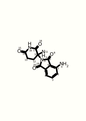 Nc1cccc2c1C(=O)N(C1(N)CCC(=O)NC1=O)C2=O